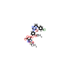 CCS(=O)(=O)C[C@H](COc1ccc(-n2cnc3ccc(-c4ccc(Cl)cc4)n3c2=O)cc1OC)C(N)C(=O)O